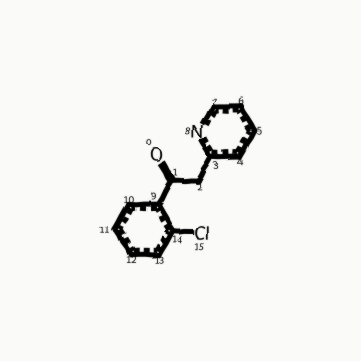 O=C(Cc1ccccn1)c1ccccc1Cl